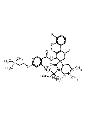 C[C@@H]1CN(C2(C(=O)NC(C)(C)CC(C)(C)C)C=C(F)C(c3cccc(F)c3F)=C(F)C2NC(=O)c2cnc(OCC[Si](C)(C)C)cc2C(F)(F)F)C[C@H](C)N1C